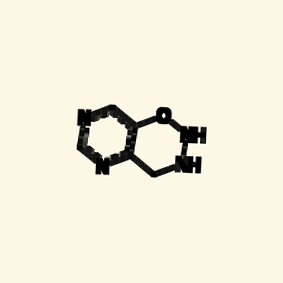 c1ncc2c(n1)CNNO2